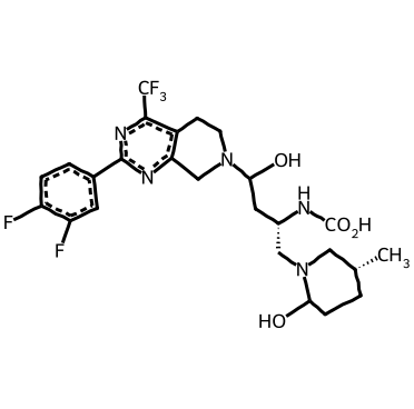 C[C@@H]1CCC(O)N(C[C@H](CC(O)N2CCc3c(nc(-c4ccc(F)c(F)c4)nc3C(F)(F)F)C2)NC(=O)O)C1